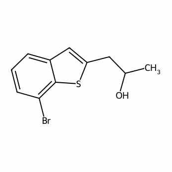 CC(O)Cc1cc2cccc(Br)c2s1